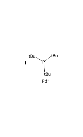 CC(C)(C)P(C(C)(C)C)C(C)(C)C.[I-].[Pd+]